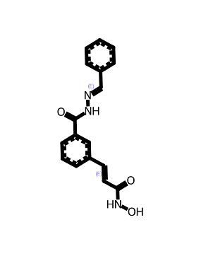 O=C(/C=C/c1cccc(C(=O)N/N=C/c2ccccc2)c1)NO